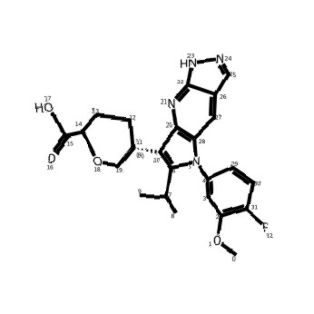 COc1cc(-n2c(C(C)C)c([C@H]3CCC(C(=O)O)OC3)c3nc4[nH]ncc4cc32)ccc1F